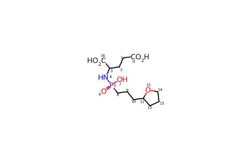 O=C(O)CCC(NP(=O)(O)CCCC1CCCO1)C(=O)O